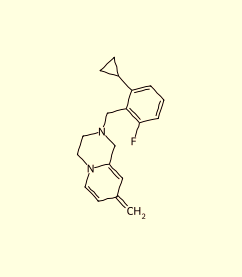 C=C1C=CN2CCN(Cc3c(F)cccc3C3CC3)CC2=C1